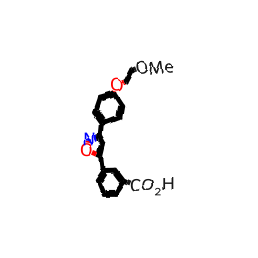 COCCOc1ccc(-c2cc(-c3cccc(C(=O)O)c3)on2)cc1